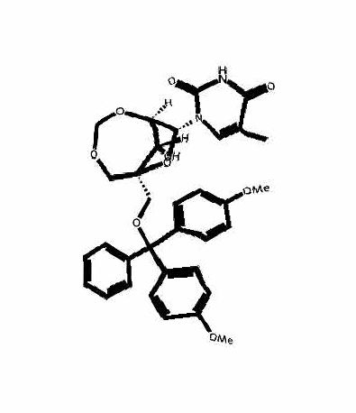 COc1ccc(C(OC[C@@]23COCO[C@@H]([C@H](n4cc(C)c(=O)[nH]c4=O)O2)[C@@H]3O)(c2ccccc2)c2ccc(OC)cc2)cc1